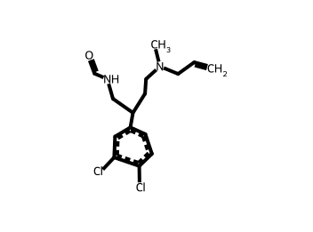 C=CCN(C)CCC(CNC=O)c1ccc(Cl)c(Cl)c1